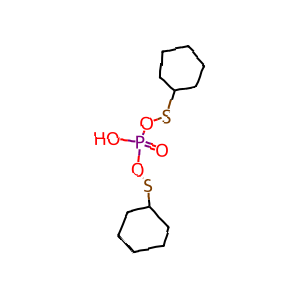 O=P(O)(OSC1CCCCC1)OSC1CCCCC1